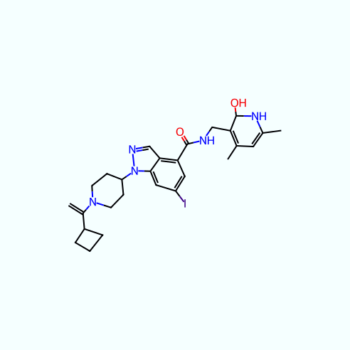 C=C(C1CCC1)N1CCC(n2ncc3c(C(=O)NCC4=C(C)C=C(C)NC4O)cc(I)cc32)CC1